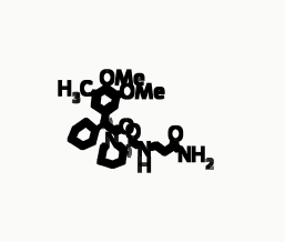 COc1cc([C@@H](C(=O)N2CCCC[C@H]2C(=O)NCCC(N)=O)C2CCCCC2)cc(C)c1OC